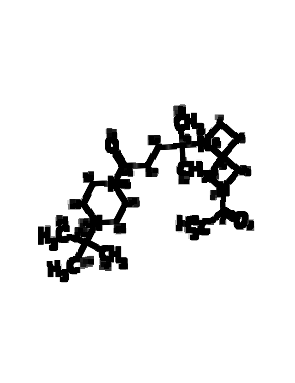 CC(=O)N1CC2(CCN2C(C)(C)CCC(=O)N2CCN(C(C)(C)C)CC2)C1